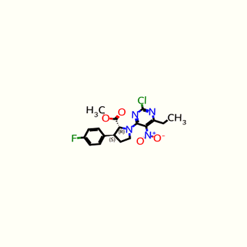 CCc1nc(Cl)nc(N2CC[C@@H](c3ccc(F)cc3)[C@@H]2C(=O)OC)c1[N+](=O)[O-]